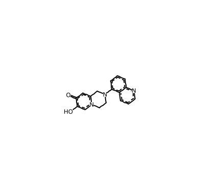 O=c1cc2n(cc1O)CCN(c1cccc3ncccc13)C2